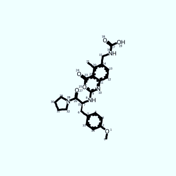 COc1ccc(C[C@H](Nc2nc3ccc(CNC(=O)O)c(C)c3c(=O)o2)C(=O)N2CCCC2)cc1